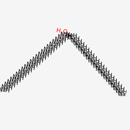 O.[NaH].[NaH].[NaH].[NaH].[NaH].[NaH].[NaH].[NaH].[NaH].[NaH].[NaH].[NaH].[NaH].[NaH].[NaH].[NaH].[NaH].[NaH].[NaH].[NaH].[NaH].[NaH].[NaH].[NaH].[NaH].[NaH].[NaH].[NaH].[NaH].[NaH].[NaH].[NaH].[NaH].[NaH].[NaH].[NaH].[NaH].[NaH].[NaH].[NaH].[NaH].[NaH].[NaH].[NaH].[NaH]